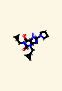 O=c1c2[nH]c(N3CCCC3)nc2n(CC2CC2)c(=O)n1CC1CC1